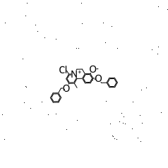 COc1c(OCc2ccccc2)ccc2c1CC[n+]1c(Cl)cc(OCc3ccccc3)c(C)c1-2